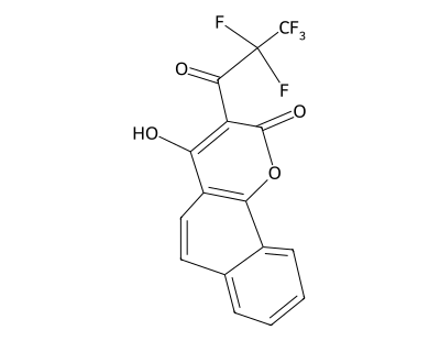 O=C(c1c(O)c2ccc3ccccc3c2oc1=O)C(F)(F)C(F)(F)F